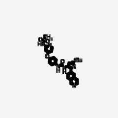 CC(C)(C)n1cc(NC(=O)Nc2ccc(Oc3ccnc(NS(C)(=O)=O)c3)cc2)c(-c2ccc3cnccc3c2)n1